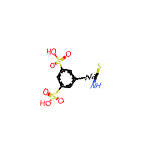 N=C=S.O=S(=O)(O)c1c[c]([Na])cc(S(=O)(=O)O)c1